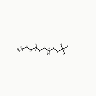 CC(C)(C)CCNCCNCCN